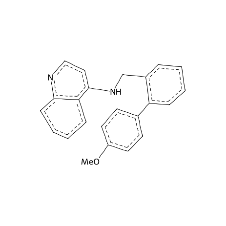 COc1ccc(-c2ccccc2CNc2ccnc3ccccc23)cc1